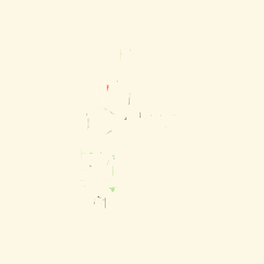 CCOC(=O)C1=CC(CF)(CF)Oc2ccc(C(F)(F)C(F)(F)C(F)(F)C(F)(F)F)cc21